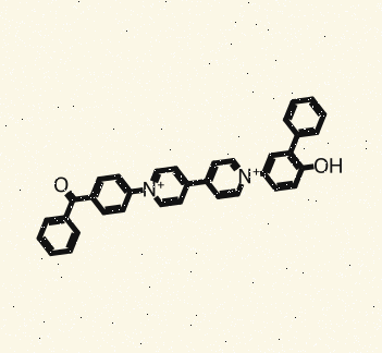 O=C(c1ccccc1)c1ccc(-[n+]2ccc(-c3cc[n+](-c4ccc(O)c(-c5ccccc5)c4)cc3)cc2)cc1